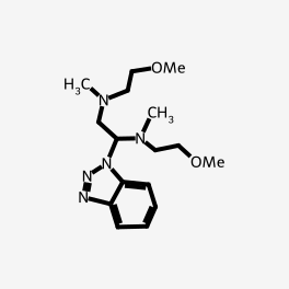 COCCN(C)CC(N(C)CCOC)n1nnc2ccccc21